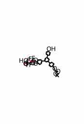 CC(C)(C)OC(=O)COc1ccc(-c2cc(-c3ccc(O)cc3)cc(-c3ccc(OS(=O)(=O)C(F)(F)C(F)(F)C(F)(F)S(=O)(=O)O)cc3)c2)cc1